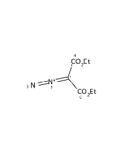 CCOC(=O)C(=[N+]=[N-])C(=O)OCC